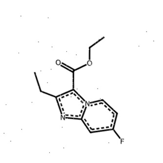 CCOC(=O)c1c(CC)nc2cc(F)ccn12